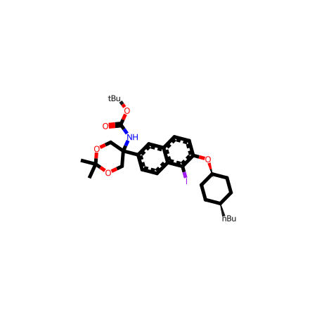 CCCC[C@H]1CC[C@@H](Oc2ccc3cc(C4(NC(=O)OC(C)(C)C)COC(C)(C)OC4)ccc3c2I)CC1